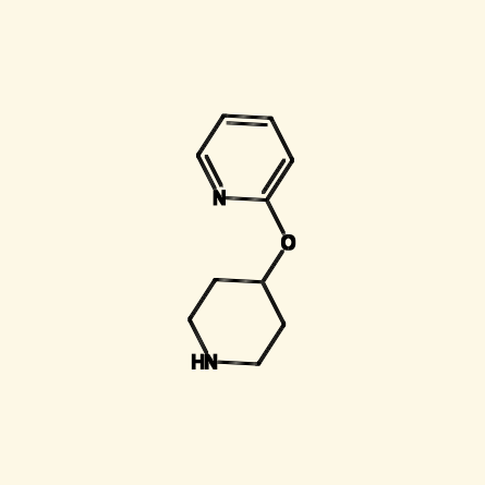 c1ccc(OC2CCNCC2)nc1